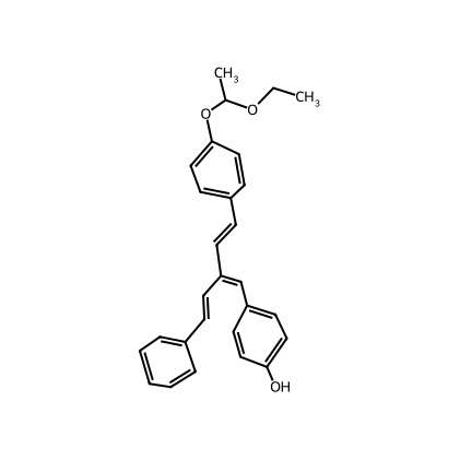 CCOC(C)Oc1ccc(C=CC(C=Cc2ccccc2)=Cc2ccc(O)cc2)cc1